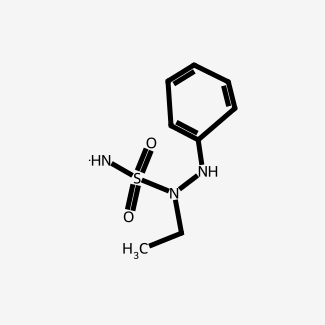 CCN(Nc1ccccc1)S([NH])(=O)=O